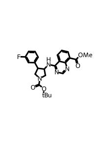 COC(=O)c1cccc2c(NC3CN(C(=O)OC(C)(C)C)CC3c3cccc(F)c3)ncnc12